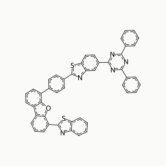 c1ccc(-c2nc(-c3ccccc3)nc(-c3ccc4sc(-c5ccc(-c6cccc7c6oc6c(-c8nc9ccccc9s8)cccc67)cc5)nc4c3)n2)cc1